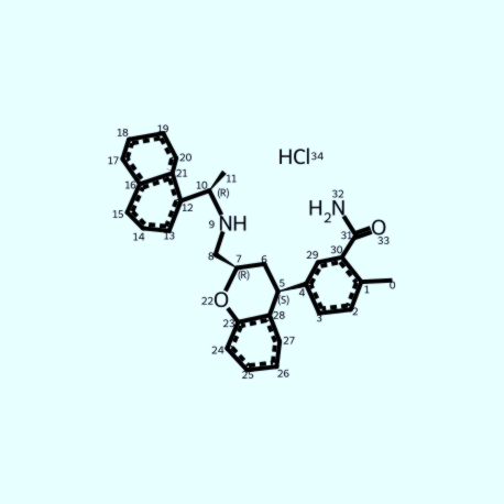 Cc1ccc([C@@H]2C[C@H](CN[C@H](C)c3cccc4ccccc34)Oc3ccccc32)cc1C(N)=O.Cl